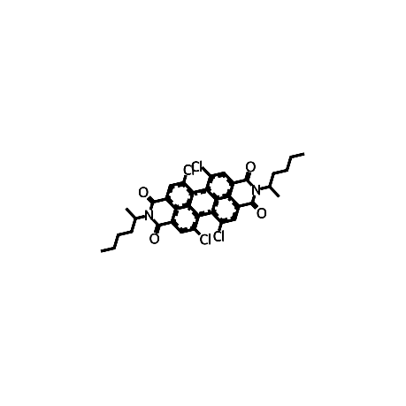 CCCCC(C)N1C(=O)c2cc(Cl)c3c4c(Cl)cc5c6c(cc(Cl)c(c7c(Cl)cc(c2c37)C1=O)c64)C(=O)N(C(C)CCCC)C5=O